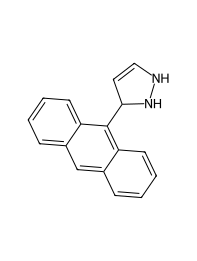 C1=CC(c2c3ccccc3cc3ccccc23)NN1